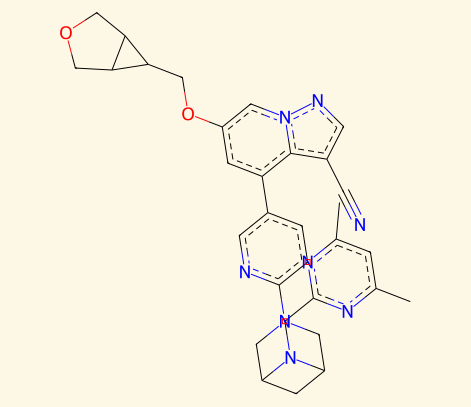 Cc1cc(C)nc(CN2C3CC2CN(c2ccc(-c4cc(OCC5C6COCC65)cn5ncc(C#N)c45)cn2)C3)n1